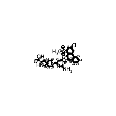 CS(=O)(=O)c1cc(Cl)cc(-c2ccccc2)c1[C@@H](Oc1cc(N2CCC3(CC2)CN[C@H](C(=O)O)C3)nc(N)n1)C(F)(F)F